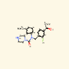 COC(=O)c1ccc(CN(C(=O)N2CCNCC2)c2cccc(OC)c2)c(F)c1